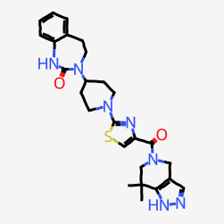 CC1(C)CN(C(=O)c2csc(N3CCC(N4CCc5ccccc5NC4=O)CC3)n2)Cc2cn[nH]c21